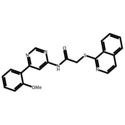 COc1ccccc1-c1cc(NC(=O)CSc2nccc3ccccc23)ncn1